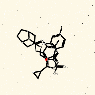 Cc1cc(C(=O)O)cc2sc(N3C4CCC3CC(OCc3c(-c5ccc(F)cc5F)noc3C3CC3)C4)nc12